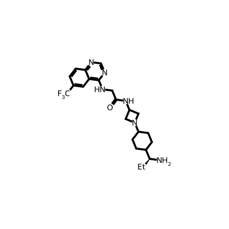 CC[C@H](N)C1CCC(N2CC(NC(=O)CNc3ncnc4ccc(C(F)(F)F)cc34)C2)CC1